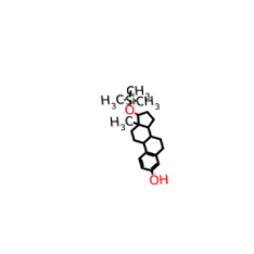 CC12CCC3c4ccc(O)cc4CCC3C1CCC2O[Si](C)(C)C